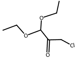 CCOC(OCC)C(=O)CCl